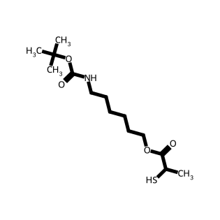 CC(S)C(=O)OCCCCCCNC(=O)OC(C)(C)C